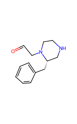 O=CCN1CCNC[C@@H]1Cc1ccccc1